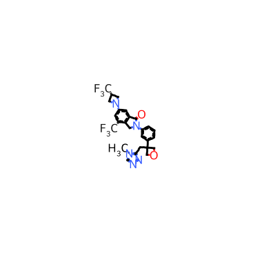 Cn1cnnc1CC1(c2cccc(N3Cc4c(cc(N5CC(C(F)(F)F)C5)cc4C(F)(F)F)C3=O)c2)COC1